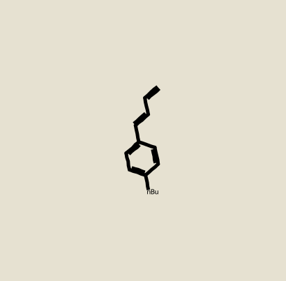 C=CC=Cc1ccc(CCCC)cc1